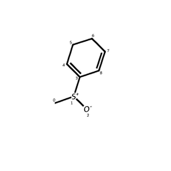 C[S+]([O-])C1=CCCC=C1